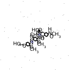 COc1cc(OCCO)ccc1/N=N/c1cc(OC)c(N/N=C2\C(=O)c3ccc(NC(C)=O)cc3C=C2S(=O)(=O)O)cc1OC